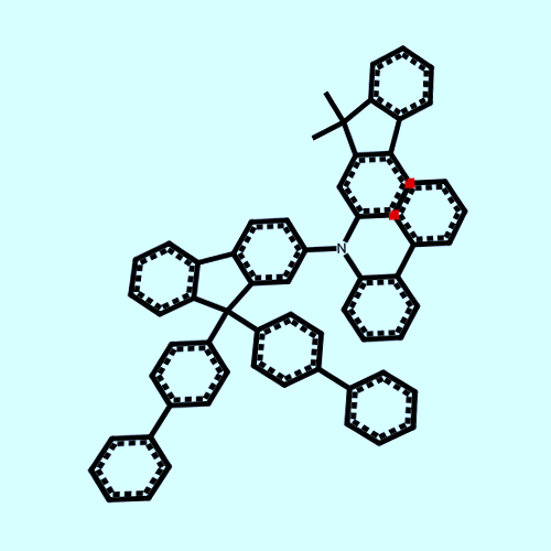 CC1(C)c2ccccc2-c2ccc(N(c3ccc4c(c3)C(c3ccc(-c5ccccc5)cc3)(c3ccc(-c5ccccc5)cc3)c3ccccc3-4)c3ccccc3-c3ccccc3)cc21